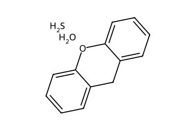 O.S.c1ccc2c(c1)Cc1ccccc1O2